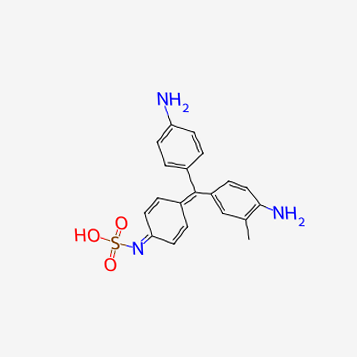 Cc1cc(C(=C2C=CC(=NS(=O)(=O)O)C=C2)c2ccc(N)cc2)ccc1N